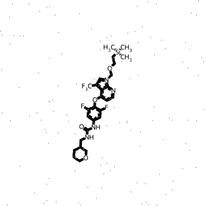 C[Si](C)(C)CCOCn1cc(C(F)(F)F)c2c(Oc3c(F)cc(NC(=O)NCC4CCCOC4)cc3F)ccnc21